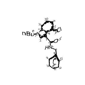 CCCCn1cc(C(=O)NCC23CCC(CC2)CC3)c2c(Cl)cccc21